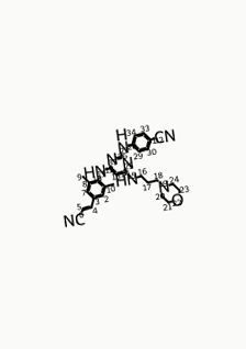 Cc1cc(C=CC#N)cc(C)c1Nc1cc(NCCCN2CCOCC2)nc(Nc2ccc(C#N)cc2)n1